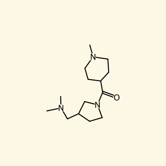 CN(C)CC1CCN(C(=O)C2CCN(C)CC2)C1